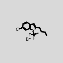 CCCCc1cc2ccc(Cl)cc2[s+]1C(F)(F)F.[Br-]